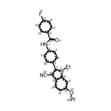 CCn1c(-c2ccc(NC(=O)c3ccc(F)cc3)cc2)c(C#N)c2ccc(OC(C)C)cc21